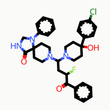 O=C(c1ccccc1)C(F)CC(N1CCC(O)(c2ccc(Cl)cc2)CC1)N1CCC2(CC1)C(=O)NCN2c1ccccc1